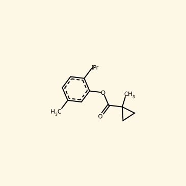 Cc1ccc(C(C)C)c(OC(=O)C2(C)CC2)c1